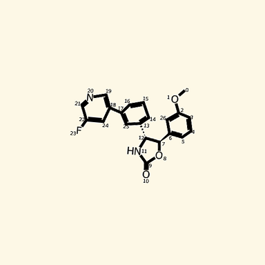 COc1cccc([C@H]2OC(=O)N[C@@H]2c2cccc(-c3cncc(F)c3)c2)c1